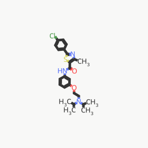 Cc1nc(-c2ccc(Cl)cc2)sc1C(=O)Nc1cccc(OCCN(C(C)C)C(C)C)c1